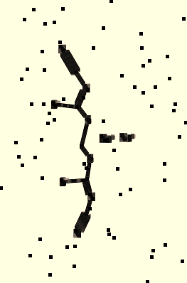 N#C/N=C(\[S-])SCS/C([S-])=N/C#N.[Na+].[Na+]